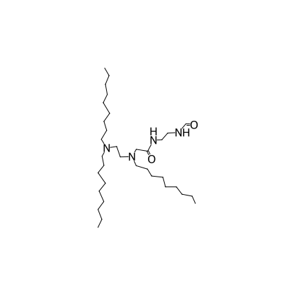 CCCCCCCCCN(CCCCCCCCC)CCN(CCCCCCCCC)CC(=O)NCCNC=O